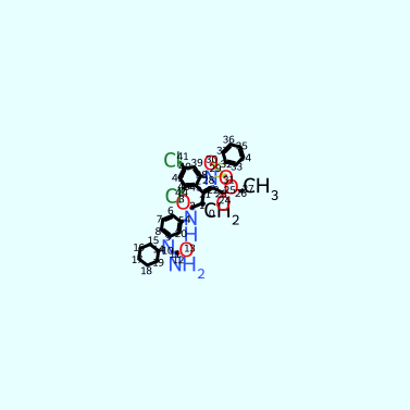 C=C(C(=O)Nc1cccc(N(C(N)=O)C2CCCCC2)c1)c1c(C(=O)OCC)n(S(=O)(=O)c2ccccc2)c2cc(Cl)cc(Cl)c12